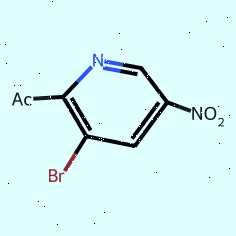 CC(=O)c1ncc([N+](=O)[O-])cc1Br